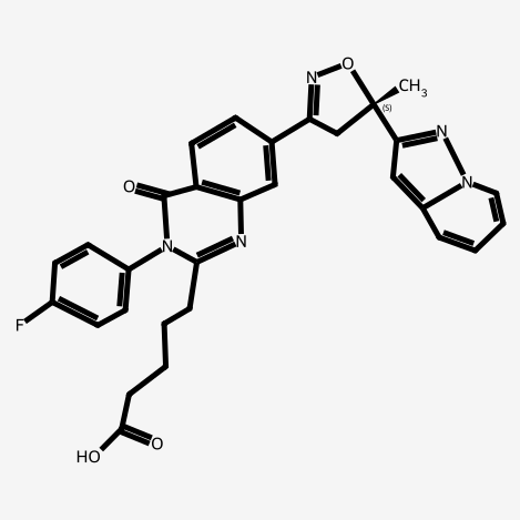 C[C@@]1(c2cc3ccccn3n2)CC(c2ccc3c(=O)n(-c4ccc(F)cc4)c(CCCCC(=O)O)nc3c2)=NO1